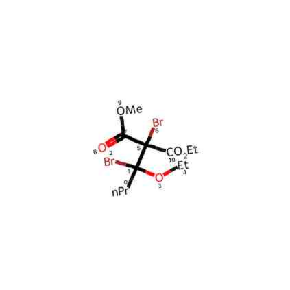 CCCC(Br)(OCC)C(Br)(C(=O)OC)C(=O)OCC